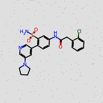 NS(=O)(=O)c1cc(NC(=O)Cc2ccccc2Cl)ccc1-c1cncc(N2CCCC2)c1